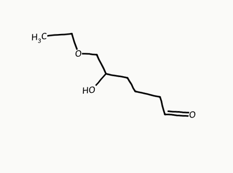 CCOCC(O)CCCC=O